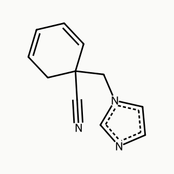 N#CC1(Cn2ccnc2)C=CC=CC1